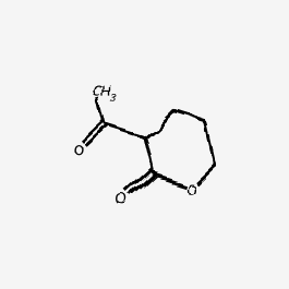 CC(=O)C1CCCOC1=O